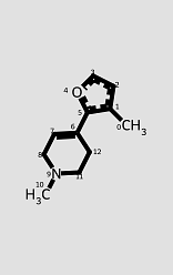 Cc1ccoc1C1=CCN(C)CC1